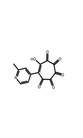 Cc1cc(-c2c(O)c(=O)c(=O)c(=O)c(=O)c2=O)ccn1